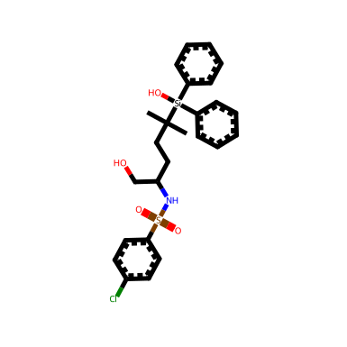 CC(C)(CCC(CO)NS(=O)(=O)c1ccc(Cl)cc1)[Si](O)(c1ccccc1)c1ccccc1